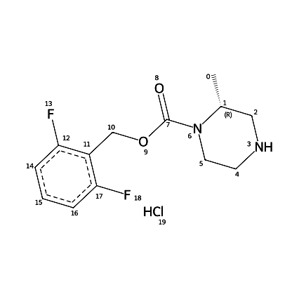 C[C@@H]1CNCCN1C(=O)OCc1c(F)cccc1F.Cl